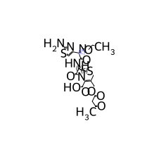 CCO/N=C(\C(=O)N[C@@H]1C(=O)N2C(C(=O)O)=C(COC(=O)CC(C)=O)CS[C@@H]12)c1csc(N)n1